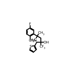 COc1ccc(F)cc1C(C)(C)CC(O)(Cc1cccs1)C(F)(F)F